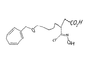 O=C(O)CC(CCCOCc1ccccc1)C(Cl)=NO